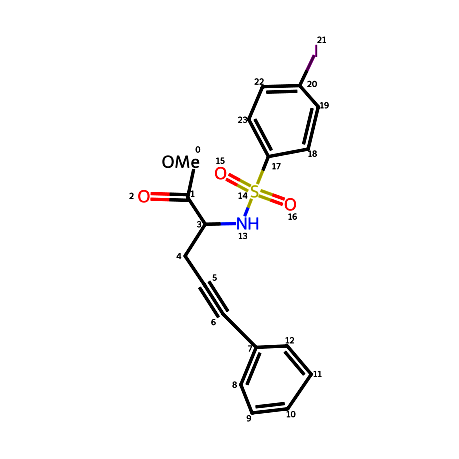 COC(=O)C(CC#Cc1ccccc1)NS(=O)(=O)c1ccc(I)cc1